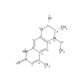 CC[C@H]1Oc2cc3[nH]c(=O)cc(C(F)(F)F)c3cc2N(CC(F)(F)F)[C@H]1C